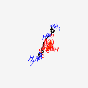 NCc1ccc(C(=O)NCCOCC#COC[C@@H]2CC[C@H](n3ccc(N)nc3=O)O2)cc1.O=P(O)(O)OP(=O)(O)OP(=O)(O)O